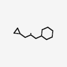 [CH](CC1CCCCC1)CC1CC1